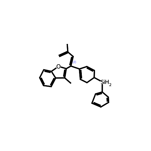 C=C(C)/C=C(/C1=CCC([SiH2]c2ccccc2)C=C1)c1oc2ccccc2c1C